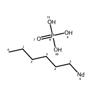 CCCCC[CH2][Nd].O=P(O)(O)O